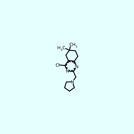 CC1(C)CCc2nc(CN3CCCC3)nc(Cl)c2C1